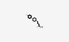 N#C/C(F)=C/C=C/[C@H]1CC[C@H](c2ccc(F)cc2)CC1